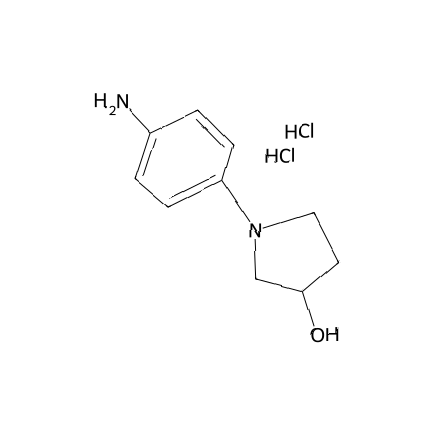 Cl.Cl.Nc1ccc(N2CCC(O)C2)cc1